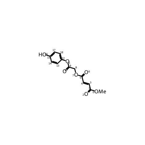 COC(=O)C=CC(=O)OCC(=O)Oc1ccc(O)cc1